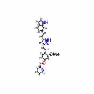 COc1cc(OCc2ccccn2)ccc1/C=C/c1cc(/C=C/c2ccc3cc[nH]c3c2)[nH]n1